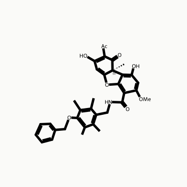 COc1cc(O)c2c(c1C(=O)NCc1c(C)c(C)c(OCc3ccccc3)c(C)c1C)OC1=CC(O)=C(C(C)=O)C(=O)[C@]12C